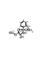 CC(C)[C@H](NS(=O)(=O)c1ccccc1CN)C(=O)OC(C)(C)C